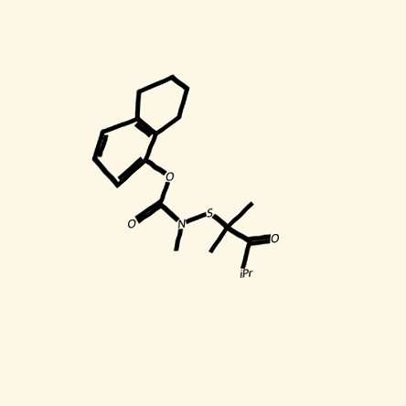 CC(C)C(=O)C(C)(C)SN(C)C(=O)Oc1cccc2c1CCCC2